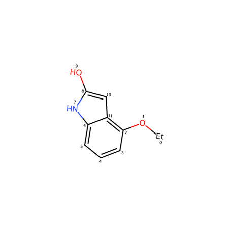 CCOc1cccc2[nH]c(O)cc12